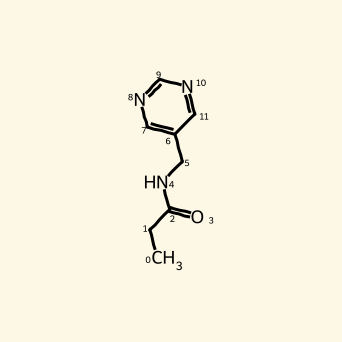 CCC(=O)NCc1cncnc1